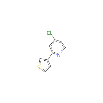 Clc1ccnc(-c2ccsc2)c1